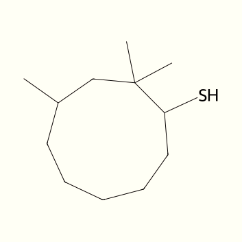 CC1CCCCCC(S)C(C)(C)C1